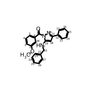 COc1cccc(C(=O)n2nc(-c3ccccc3)cc2NCc2ccccc2)c1